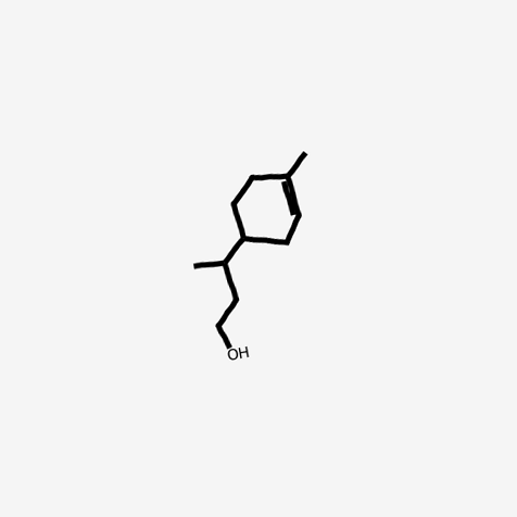 CC1=CCC(C(C)CCO)CC1